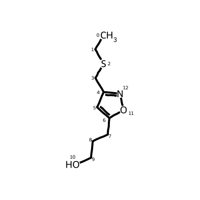 CCSCc1cc(CCCO)on1